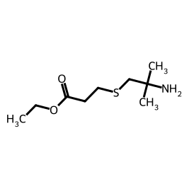 CCOC(=O)CCSCC(C)(C)N